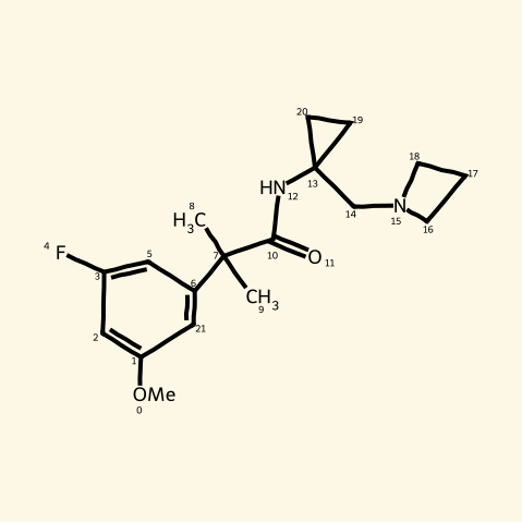 COc1cc(F)cc(C(C)(C)C(=O)NC2(CN3CCC3)CC2)c1